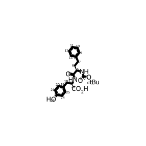 CC(C)(C)OC(=O)N[C@H](CCc1ccccc1)C(=O)N[C@@H](Cc1ccc(O)cc1)C(=O)O